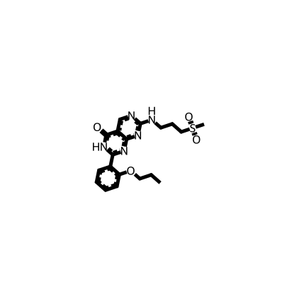 CCCOc1ccccc1-c1nc2nc(NCCCS(C)(=O)=O)ncc2c(=O)[nH]1